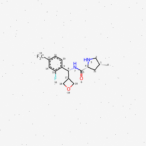 C[C@H]1CN[C@@H](C(=O)N[C@@H](c2ccc(C(F)(F)F)cc2F)C2COC2)C1